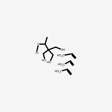 C=CC(=O)O.C=CC(=O)O.C=CC(=O)O.CCOC(C)C(CO)(CO)CO